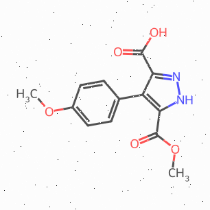 COC(=O)c1[nH]nc(C(=O)O)c1-c1ccc(OC)cc1